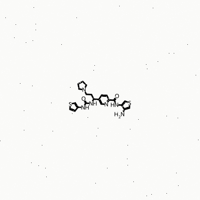 Nc1cscc1NC(=O)c1ccc(C(CCN2CCCC2)NC(=O)Nc2ccsc2)cn1